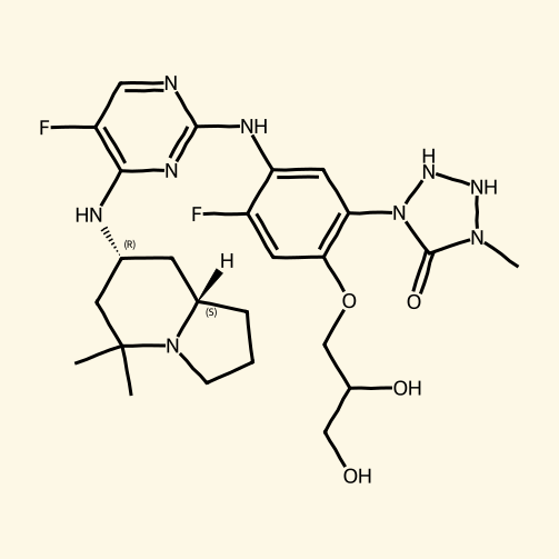 CN1NNN(c2cc(Nc3ncc(F)c(N[C@@H]4C[C@@H]5CCCN5C(C)(C)C4)n3)c(F)cc2OCC(O)CO)C1=O